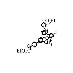 CCOC(=O)CC(=O)N1CCC(c2ccc(COc3c(F)cc(F)cc3-c3cccc(N4CCC(C(=O)OCC)CC4)n3)c(C)c2)CC1